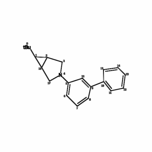 CC(C)(C)C1C2CN(c3cccc(-c4ccccc4)c3)CC21